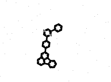 c1ccc(-c2cncc(-c3ccc(-c4cc5c6c(cccc6c4)-c4ccccc4-5)cc3)n2)cc1